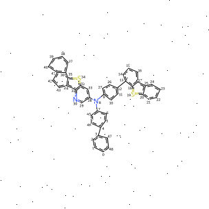 c1ccc(-c2ccc(N(c3ccc(-c4cccc5c4sc4ccccc45)cc3)c3cnc4c(c3)sc3c5ccccc5ccc43)cc2)cc1